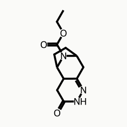 CCOC(=O)N1C2CCC1C1CC(=O)NN=C1C2